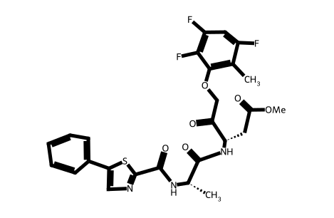 COC(=O)C[C@H](NC(=O)[C@H](C)NC(=O)c1ncc(-c2ccccc2)s1)C(=O)COc1c(C)c(F)cc(F)c1F